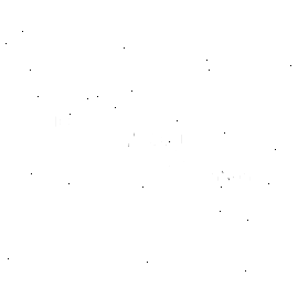 CCCCCCCCCCCCCCCCCCO.[CH2]C(=O)O